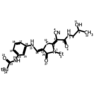 CCn1c(=C(C#N)C(=O)NCC(C)O)sc(=CNc2cccc(NC(=O)C(C)(C)C)c2)c1=O